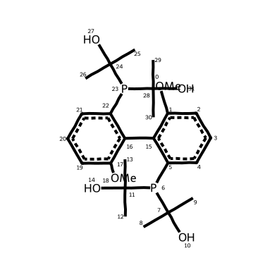 COc1cccc(P(C(C)(C)O)C(C)(C)O)c1-c1c(OC)cccc1P(C(C)(C)O)C(C)(C)O